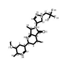 COC1CC(C2CC(C)C3C(=O)N(C4C=NN(CC(F)(F)F)C4)C(C)C3=N2)C=NC1C